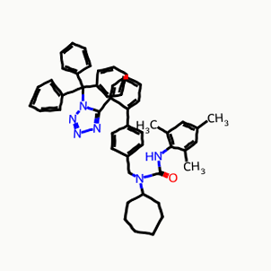 Cc1cc(C)c(NC(=O)N(Cc2ccc(-c3ccccc3-c3nnnn3C(c3ccccc3)(c3ccccc3)c3ccccc3)cc2)C2CCCCCC2)c(C)c1